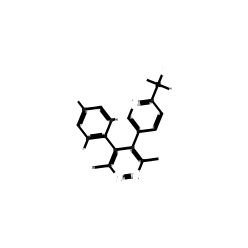 Cc1nnc(Cl)c(-c2c(F)cc(F)cc2F)c1-c1ccc(C(F)(F)F)nc1